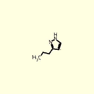 CCCc1[c]c[nH]n1